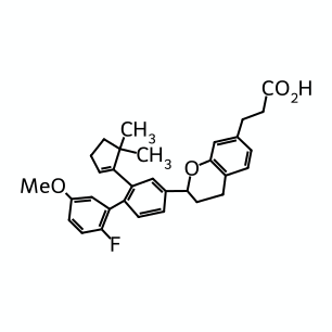 COc1ccc(F)c(-c2ccc(C3CCc4ccc(CCC(=O)O)cc4O3)cc2C2=CCCC2(C)C)c1